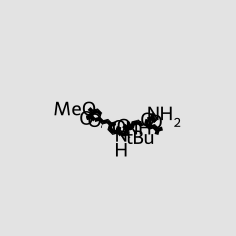 COC1=CC[C@@H]([C@@H](C)CC(C)/C=C\C(=O)N[C@H](C(=O)N/C=C\C[C@H](CC=C(C)C)OC(N)=O)C(C)(C)C)OC1=O